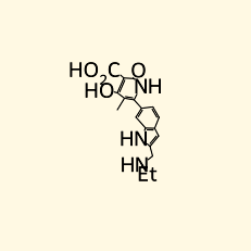 CCNCc1cc2ccc(-c3[nH]c(=O)c(C(=O)O)c(O)c3C)cc2[nH]1